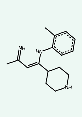 CC(=N)/C=C(\Nc1ccccc1C)C1CCNCC1